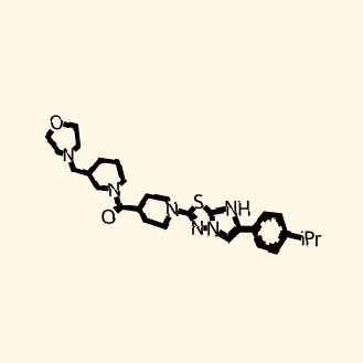 CC(C)c1ccc(C2=CN3N=C(N4CCC(C(=O)N5CCCC(CN6CCOCC6)C5)CC4)SC3N2)cc1